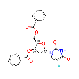 O=C(OC[C@H]1O[C@@H](n2cc(F)c(=O)[nH]c2=O)C[C@H]1OC(=O)c1ccccc1)c1ccccc1